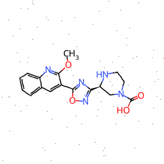 COc1nc2ccccc2cc1-c1nc([C@@H]2CN(C(=O)O)CCN2)no1